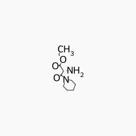 CCOC(=O)[C@H](N)C(=O)N1CCCCC1